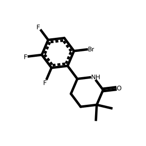 CC1(C)CCC(c2c(Br)cc(F)c(F)c2F)NC1=O